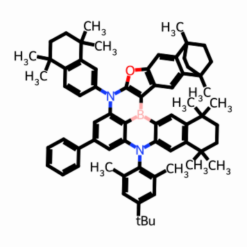 Cc1cc(C(C)(C)C)cc(C)c1N1c2cc3c(cc2B2c4c(cc(-c5ccccc5)cc41)N(c1ccc4c(c1)C(C)(C)CCC4(C)C)c1oc4cc5c(cc4c12)C1(C)CCC5(C)CC1)C(C)(C)CCC3(C)C